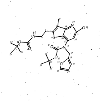 Cc1c(CCNC(=O)OC(C)(C)C)sc2c(N(Cc3ccco3)C(=O)OC(C)(C)C)cc(Cl)nc12